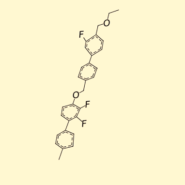 CCOCc1ccc(-c2ccc(COc3ccc(-c4ccc(C)cc4)c(F)c3F)cc2)cc1F